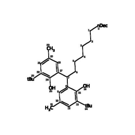 CCCCCCCCCCCCCCCCC(c1cc(C)cc(C(C)(C)C)c1O)c1cc(C)cc(C(C)(C)C)c1O